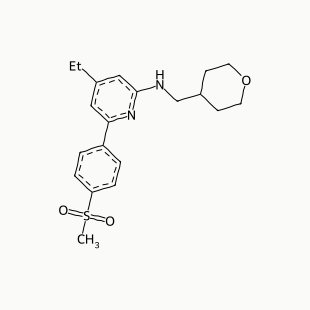 CCc1cc(NCC2CCOCC2)nc(-c2ccc(S(C)(=O)=O)cc2)c1